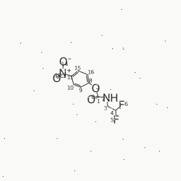 O=C(NCC(F)F)Oc1ccc([N+](=O)[O-])cc1